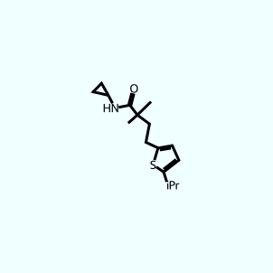 CC(C)c1ccc(CCC(C)(C)C(=O)NC2CC2)s1